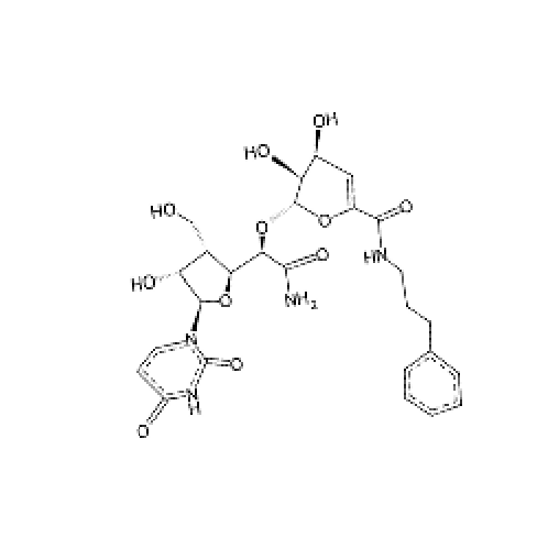 NC(=O)[C@H](O[C@H]1OC(C(=O)NCCCc2ccccc2)=C[C@H](O)[C@@H]1O)[C@H]1O[C@@H](n2ccc(=O)[nH]c2=O)[C@H](O)[C@@H]1CO